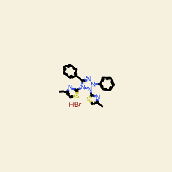 Br.Cc1csc(N2C(c3ccccc3)=NN(c3ccccc3)N2c2nc(C)cs2)n1